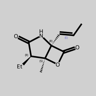 C/C=C/[C@@]12NC(=O)[C@H](CC)[C@]1(C)OC2=O